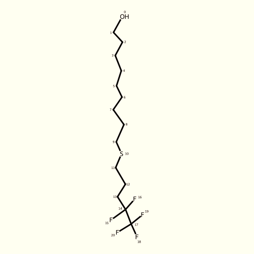 OCCCCCCCCCSCCCC(F)(F)C(F)(F)F